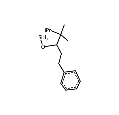 CC(C)C(C)(C)C(CCc1ccccc1)O[SiH3]